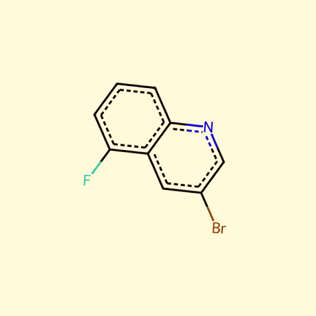 Fc1cccc2ncc(Br)cc12